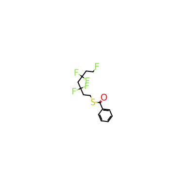 O=C(SCCC(F)(F)CC(F)(F)CCF)c1ccccc1